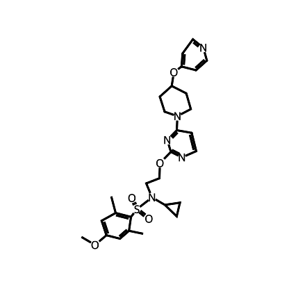 COc1cc(C)c(S(=O)(=O)N(CCOc2nccc(N3CCC(Oc4ccncc4)CC3)n2)C2CC2)c(C)c1